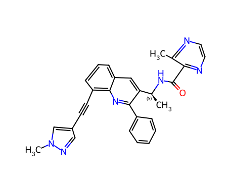 Cc1nccnc1C(=O)N[C@@H](C)c1cc2cccc(C#Cc3cnn(C)c3)c2nc1-c1ccccc1